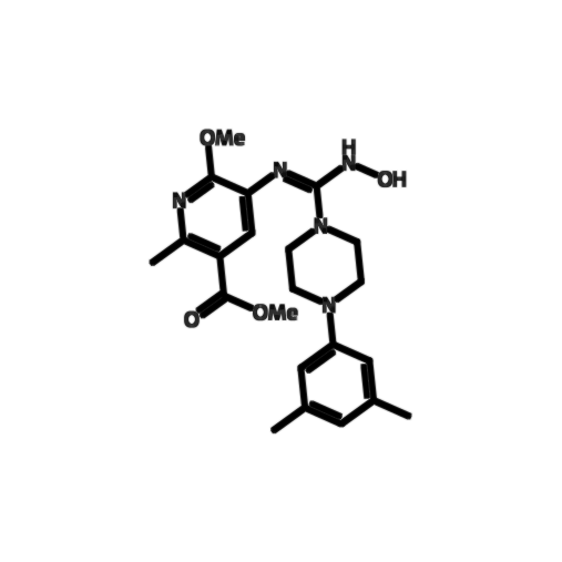 COC(=O)c1cc(N=C(NO)N2CCN(c3cc(C)cc(C)c3)CC2)c(OC)nc1C